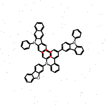 c1ccc(N(c2ccc3c(c2)oc2ccccc23)c2ccccc2-c2cc(-c3ccc4c(c3)c3ccccc3n4-c3ccccc3)cc(-c3ccc4c(c3)c3cc5ccccc5cc3n4-c3ccccc3)c2)cc1